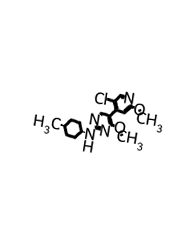 COc1cc(-c2cnc(N[C@H]3CC[C@H](C)CC3)nc2OC)c(Cl)cn1